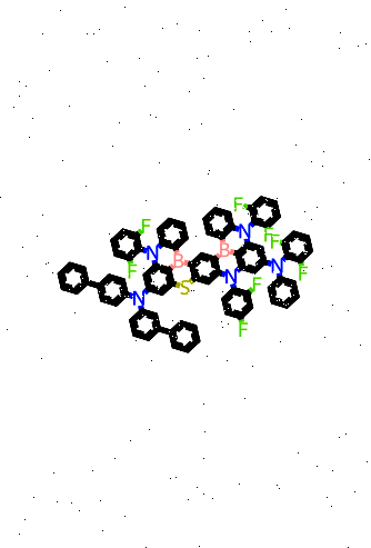 Fc1ccc(N2c3cc4c(cc3B3c5ccccc5N(c5c(F)cccc5F)c5cc(N(c6ccccc6)c6c(F)cccc6F)cc2c53)B2c3ccccc3N(c3c(F)cccc3F)c3cc(N(c5ccc(-c6ccccc6)cc5)c5cccc(-c6ccccc6)c5)cc(c32)S4)c(F)c1